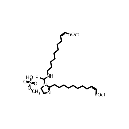 CCCCCCCC/C=C\CCCCCCCCNC(CC)N1CCN=C1CCCCCCCC/C=C\CCCCCCCC.COS(=O)(=O)O